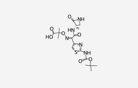 CC(C)(C)OC(=O)Nc1nc(C(=NOC(C)(C)C(=O)O)C(=O)N[C@H]2CNC2=O)cs1